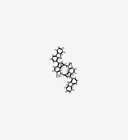 CCn1c2cc(-c3cccc4c3sc3ccccc34)c3cccc(c3c2)n(CC)c2cc(-c3cccc4c3sc3ccccc34)c3cccc1c3c2